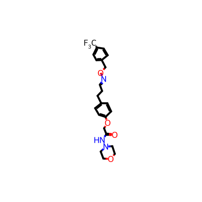 O=C(COc1ccc(CCC=NOCc2ccc(C(F)(F)F)cc2)cc1)NN1CCOCC1